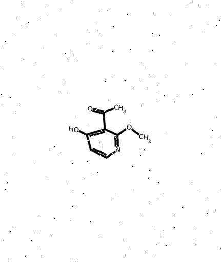 COc1nccc(O)c1C(C)=O